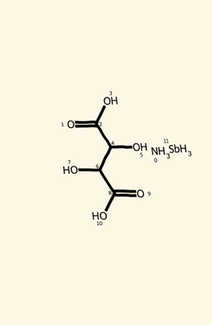 N.O=C(O)C(O)C(O)C(=O)O.[SbH3]